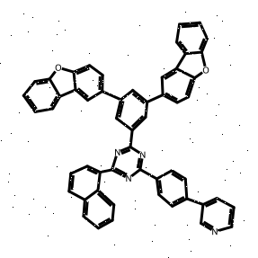 c1cncc(-c2ccc(-c3nc(-c4cc(-c5ccc6oc7ccccc7c6c5)cc(-c5ccc6oc7ccccc7c6c5)c4)nc(-c4cccc5ccccc45)n3)cc2)c1